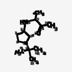 CC(=O)C(C)NC1CCN(C(C)(C)C)C1